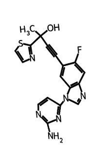 CC(O)(C#Cc1cc2c(cc1F)ncn2-c1ccnc(N)n1)c1nccs1